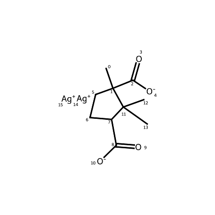 CC1(C(=O)[O-])CCC(C(=O)[O-])C1(C)C.[Ag+].[Ag+]